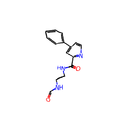 O=CNCCNC(=O)c1cc(-c2ccccc2)ccn1